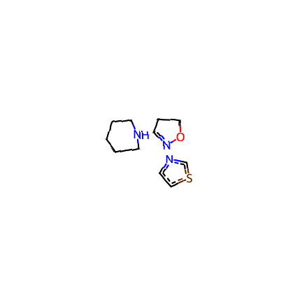 C1=NOCC1.C1CCNCC1.c1cscn1